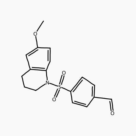 COc1ccc2c(c1)CCCN2S(=O)(=O)c1ccc(C=O)cc1